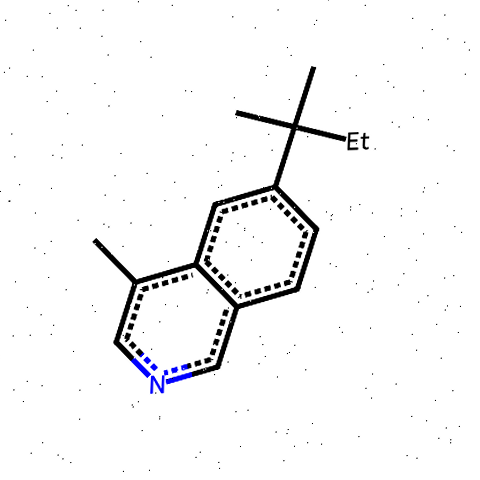 CCC(C)(C)c1ccc2cncc(C)c2c1